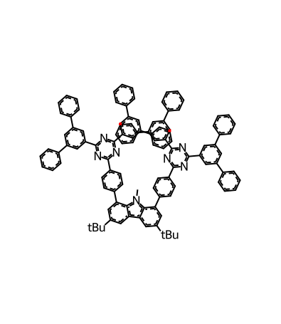 Cn1c2c(-c3ccc(-c4nc(-c5cc(-c6ccccc6)cc(-c6ccccc6)c5)nc(-c5cc(-c6ccccc6)cc(-c6ccccc6)c5)n4)cc3)cc(C(C)(C)C)cc2c2cc(C(C)(C)C)cc(-c3ccc(-c4nc(-c5cc(-c6ccccc6)cc(-c6ccccc6)c5)nc(-c5cc(-c6ccccc6)cc(-c6ccccc6)c5)n4)cc3)c21